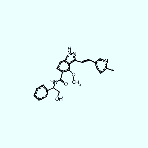 COc1c(C(=O)NC(CO)c2ccccc2)ccc2[nH]nc(/C=C/c3ccc(F)nc3)c12